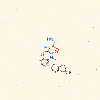 CN[C@@H](C)C(=O)N[C@H]1COc2c(F)cccc2N(Cc2c(OC)ccc3cc(Br)ccc23)C1=O